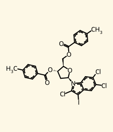 Cc1ccc(C(=O)OC[C@H]2O[C@@H](n3c(Cl)c(I)c4cc(Cl)c(Cl)cc43)C[C@@H]2OC(=O)c2ccc(C)cc2)cc1